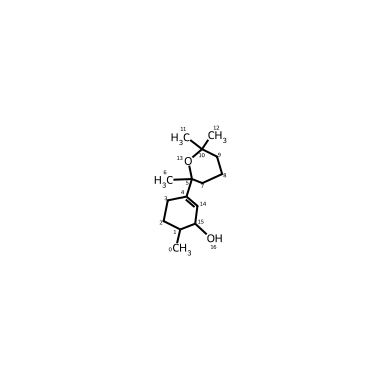 CC1CCC(C2(C)CCCC(C)(C)O2)=CC1O